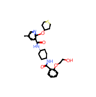 Cc1cnc(OC2CCSCC2)c(C(=O)N[C@H]2CC[C@@H](NC(=O)c3ccccc3OCCO)CC2)c1